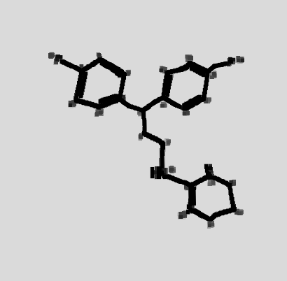 Fc1ccc(C(CCNC2=NCCCN2)c2ccc(F)cc2)cc1